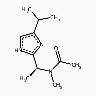 CC(=O)N(C)[C@@H](C)c1nc(C(C)C)c[nH]1